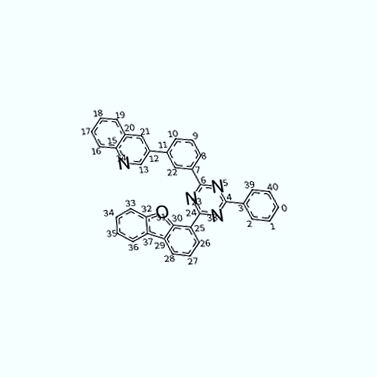 c1ccc(-c2nc(-c3cccc(-c4cnc5ccccc5c4)c3)nc(-c3cccc4c3oc3ccccc34)n2)cc1